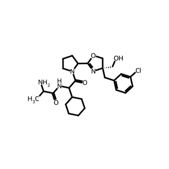 CC(N)C(=O)NC(C(=O)N1CCCC1C1=N[C@](CO)(Cc2cccc(Cl)c2)CO1)C1CCCCC1